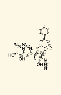 CC1OC(c2ccccc2)O[C@@H](C)C1O[C@H](O[C@@H](C)C(C[C@@H](N=[N+]=[N-])[C@@H](O)CO)N=[N+]=[N-])[C@@H](CO)N=[N+]=[N-]